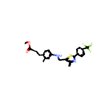 COC(=O)CCc1ccc(NCc2sc(-c3ccc(C(F)(F)F)cc3)nc2C)cc1C